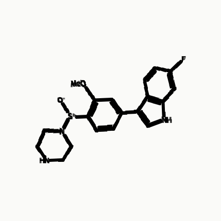 COc1cc(-c2c[nH]c3cc(F)ccc23)ccc1[S+]([O-])N1CCNCC1